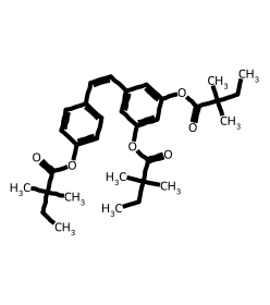 CCC(C)(C)C(=O)Oc1ccc(/C=C\c2cc(OC(=O)C(C)(C)CC)cc(OC(=O)C(C)(C)CC)c2)cc1